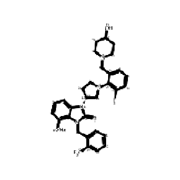 COc1cccc2c1n(Cc1ccccc1C(F)(F)F)c(=O)n2[C@@H]1CCN(c2c(F)cccc2CN2CCC(O)CC2)C1